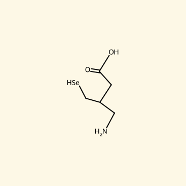 NCC(C[SeH])CC(=O)O